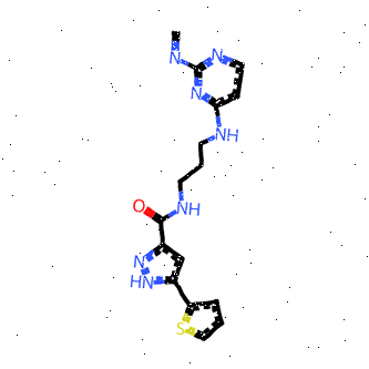 C=Nc1nccc(NCCCNC(=O)c2cc(-c3cccs3)[nH]n2)n1